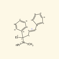 CCCN(C)C(CC)(C/C=C/c1ccccc1)c1ccccc1